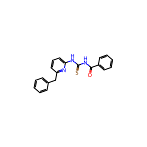 O=C(NC(=S)Nc1cccc(Cc2ccccc2)n1)c1ccccc1